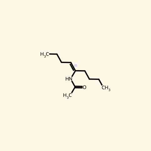 CCC/C=C(/CCCC)NC(C)=O